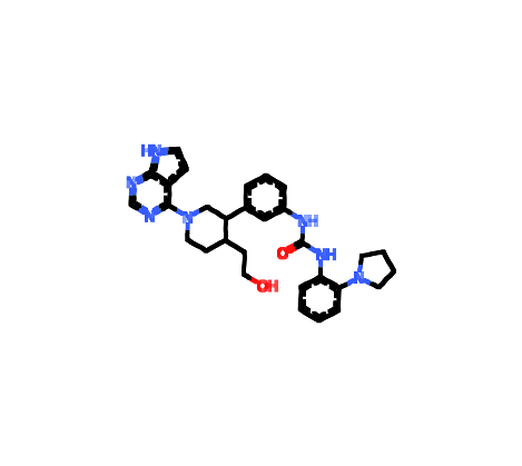 O=C(Nc1cccc(C2CN(c3ncnc4[nH]ccc34)CCC2CCO)c1)Nc1ccccc1N1CCCC1